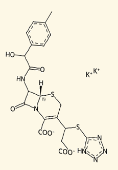 Cc1ccc(C(O)C(=O)NC2C(=O)N3C(C(=O)[O-])=C(C(CC(=O)[O-])Sc4nnn[nH]4)CS[C@@H]23)cc1.[K+].[K+]